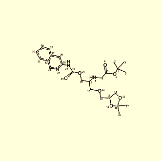 CC(C)(C)OC(=O)CNC(COCC1COC(C)(C)O1)COC(=O)Nc1cc2ccccc2cn1